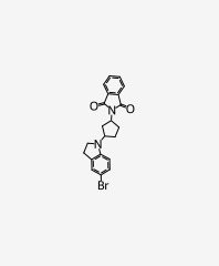 O=C1c2ccccc2C(=O)N1C1CCC(N2CCc3cc(Br)ccc32)C1